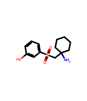 NC1(CS(=O)(=O)c2cccc(O)c2)CCCCC1